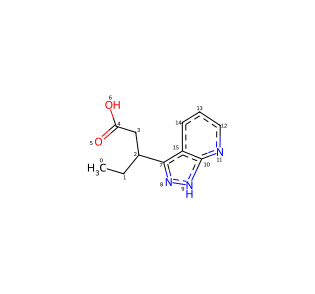 CCC(CC(=O)O)c1n[nH]c2ncccc12